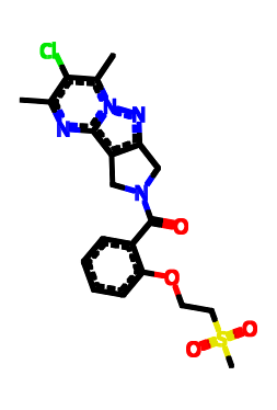 Cc1nc2c3c(nn2c(C)c1Cl)CN(C(=O)c1ccccc1OCCS(C)(=O)=O)C3